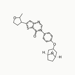 CC1OCCC1c1cc2ncn(-c3ccc(OC4C[C@H]5CC[C@@H](C4)N5C)cc3)c(=O)c2s1